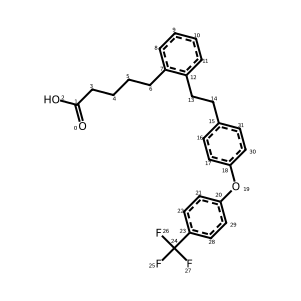 O=C(O)CCCCc1ccccc1CCc1ccc(Oc2ccc(C(F)(F)F)cc2)cc1